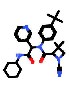 CC(C)(C)c1ccc(N(C(=O)C2N(C#N)CC2(C)C)C(C(=O)NC2CCCCC2)c2cccnc2)cc1